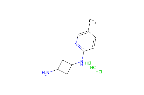 Cc1ccc(NC2CC(N)C2)nc1.Cl.Cl.Cl